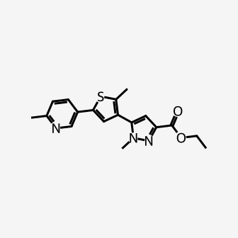 CCOC(=O)c1cc(-c2cc(-c3ccc(C)nc3)sc2C)n(C)n1